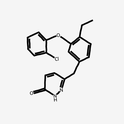 CCc1ccc(Cc2ccc(=O)[nH]n2)cc1Oc1ccccc1Cl